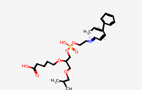 C\C=C(/C=C\C=N\CCOP(=O)(O)OCC(COCC(C)C)OCCCCC(=O)O)c1ccccc1